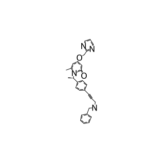 Cc1cc(OCc2ncccn2)cc(=O)n1[C@H](C)c1ccc(C#CCN(C)Cc2ccccc2)cc1